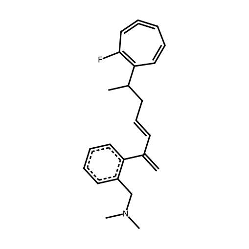 C=C(C=CCC(C)C1=C(F)C=C=CC=C1)c1ccccc1CN(C)C